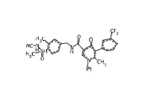 Cc1cc(CNC(=O)c2cn(C(C)C)c(C)c(-c3cccc(C(F)(F)F)c3)c2=O)ccc1[SH](C)(=O)NC#N